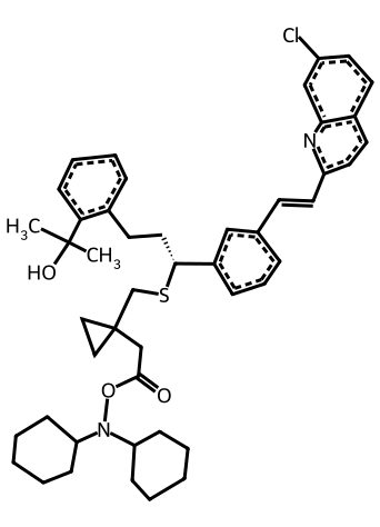 CC(C)(O)c1ccccc1CC[C@@H](SCC1(CC(=O)ON(C2CCCCC2)C2CCCCC2)CC1)c1cccc(C=Cc2ccc3ccc(Cl)cc3n2)c1